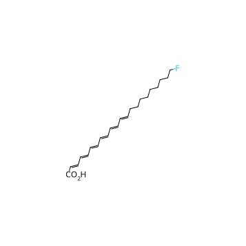 O=C(O)C=CC=CC=CC=CC=CC=CCCCCCCCCCF